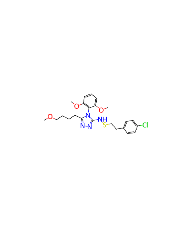 COCCCCc1nnc(NSCCc2ccc(Cl)cc2)n1-c1c(OC)cccc1OC